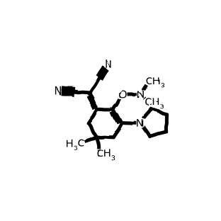 CN(C)OC1=C(N2CCCC2)CC(C)(C)CC1=C(C#N)C#N